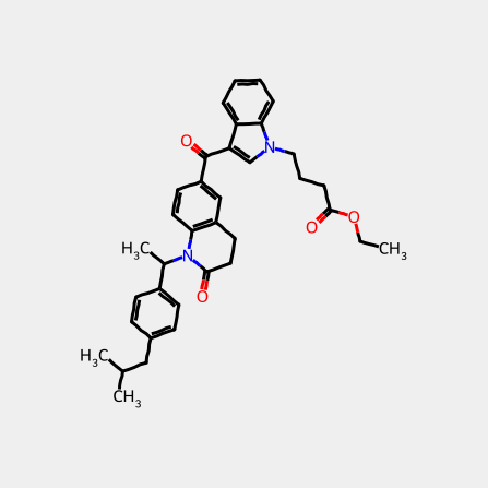 CCOC(=O)CCCn1cc(C(=O)c2ccc3c(c2)CCC(=O)N3C(C)c2ccc(CC(C)C)cc2)c2ccccc21